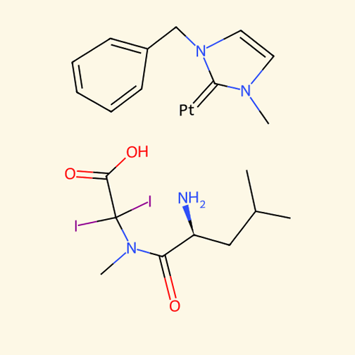 CC(C)C[C@H](N)C(=O)N(C)C(I)(I)C(=O)O.Cn1ccn(Cc2ccccc2)[c]1=[Pt]